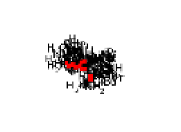 CC[C@H](C)[C@H](NC(=O)[C@H](CC(C)C)NC(=O)[C@@H]1CCCN1C(=O)[C@H](CC(C)C)NC(=O)[C@@H](N)Cc1ccccc1)C(=O)N[C@@H](CC(C)C)C(=O)N[C@@H](CCCN=C(N)N)C(=O)N[C@@H](CCCCN)C(=O)N[C@H](C(=O)N[C@H](C(=O)N[C@H](C(=O)N[C@@H](C)C(=O)N[C@@H](CC(C)C)C(N)=O)[C@@H](C)O)C(C)C)[C@@H](C)CC